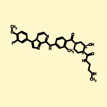 CNCCNC(=O)[C@H]1CCN(C(=O)c2ccc(Nc3nccn4c(-c5ccc(OC)c(F)c5)cnc34)cc2C)C[C@@H]1O